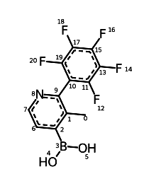 Cc1c(B(O)O)ccnc1-c1c(F)c(F)c(F)c(F)c1F